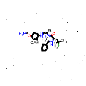 CC[C@@H](CNc1ccc(OCN)cc1OC)NC(=O)[C@H](CC(C)(C)F)N[C@@H](c1ccccc1)C(F)(F)F